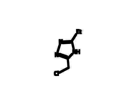 CCc1nnc(CCl)[nH]1